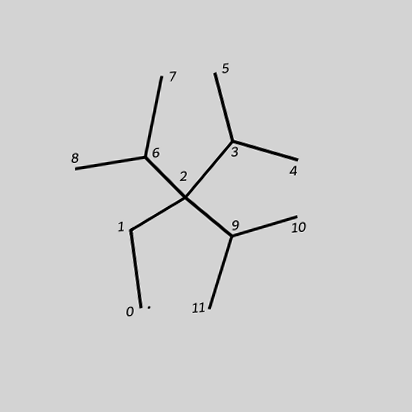 [CH2]CC(C(C)C)(C(C)C)C(C)C